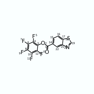 O=C(Oc1c(F)c(F)c(F)c(F)c1F)c1ccc2scnc2c1